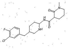 CN1CCCC(C(=O)NC2CCC(Cc3ccc(F)c(Cl)c3)CN2)C1=O